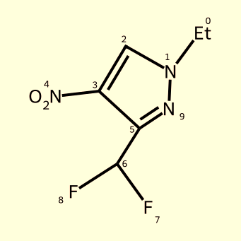 CCn1cc([N+](=O)[O-])c(C(F)F)n1